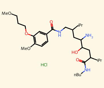 CCCCNC(=O)C(CC(O)C(N)CC(CNC(=O)c1ccc(OC)c(OCCCOC)c1)C(C)C)C(C)C.Cl